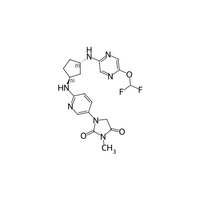 CN1C(=O)CN(c2ccc(N[C@H]3CC[C@H](Nc4cnc(OC(F)F)cn4)C3)nc2)C1=O